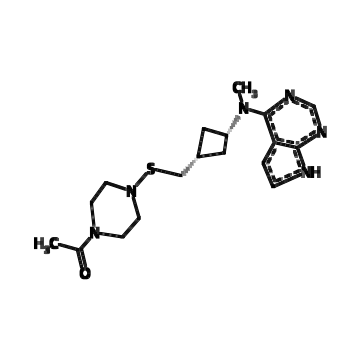 CC(=O)N1CCN(SC[C@H]2C[C@@H](N(C)c3ncnc4[nH]ccc34)C2)CC1